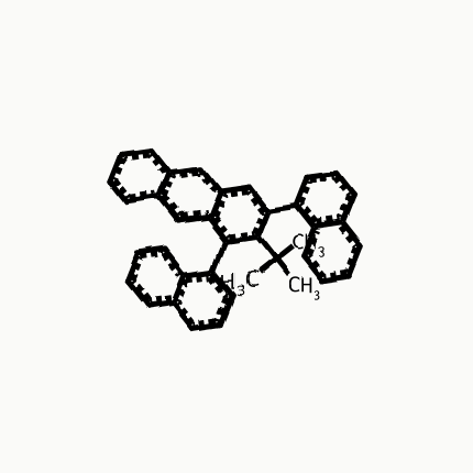 CC(C)(C)c1c(-c2cccc3ccccc23)cc2cc3ccccc3cc2c1-c1cccc2ccccc12